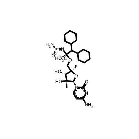 C[C@]1(O)[C@H](n2ccc(N)nc2=O)O[C@](F)(CO[C@@](N=[P+](N)[O-])(C(=O)O)C(C2CCCCC2)C2CCCCC2)[C@H]1O